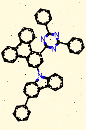 c1ccc(-c2ccc3c(c2)c2ccccc2n3-c2cc(-c3nc(-c4ccccc4)nc(-c4ccccc4)n3)c3c4ccccc4c4ccccc4c3c2)cc1